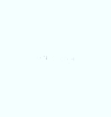 O=C(O)S(c1ccccc1)(c1ccccc1)[N+](=O)[O-]